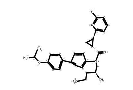 CCC[C@H](C)CN(C(=O)[C@@H]1C[C@H]1c1cccc(F)n1)c1ccc(-c2ccc(OC(C)C)cc2)cc1